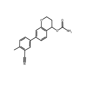 Cc1ccc(-c2ccc3c(c2)OCCC3OC(N)=O)cc1C#N